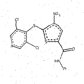 CC(C)NC(=O)c1cc([N+](=O)[O-])c(Sc2c(Cl)cncc2Cl)s1